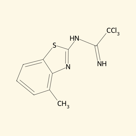 Cc1cccc2sc(NC(=N)C(Cl)(Cl)Cl)nc12